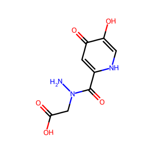 NN(CC(=O)O)C(=O)c1cc(=O)c(O)c[nH]1